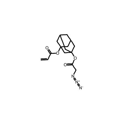 C=CC(=O)OC12CC3CC(C1)CC(OC(=O)CN=[N+]=[N-])(C3)C2